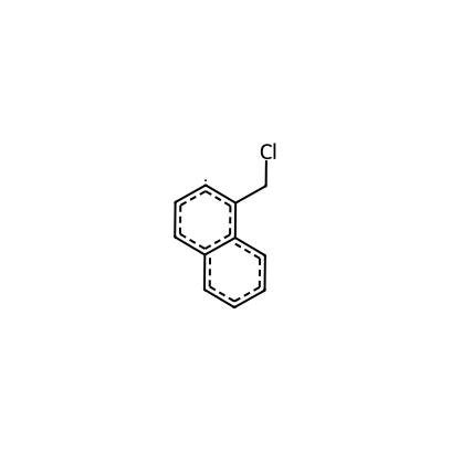 ClCc1[c]ccc2ccccc12